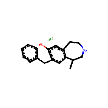 CC1CNCCc2cc(O)c(Cc3ccccc3)cc21.Cl